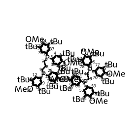 COc1c(C(C)(C)C)cc(P(CCCP(c2cc(C(C)(C)C)c(OC)c(C(C)(C)C)c2)c2cc(C(C)(C)C)c(OC)c(C(C)(C)C)c2)c2cc(C(C)(C)C)c(OC)c(C(C)(C)C)c2)cc1C(C)(C)C.COc1c(C(C)(C)C)cc(P(CCP(c2cc(C(C)(C)C)c(OC)c(C(C)(C)C)c2)c2cc(C(C)(C)C)c(OC)c(C(C)(C)C)c2)c2cc(C(C)(C)C)c(OC)c(C(C)(C)C)c2)cc1C(C)(C)C